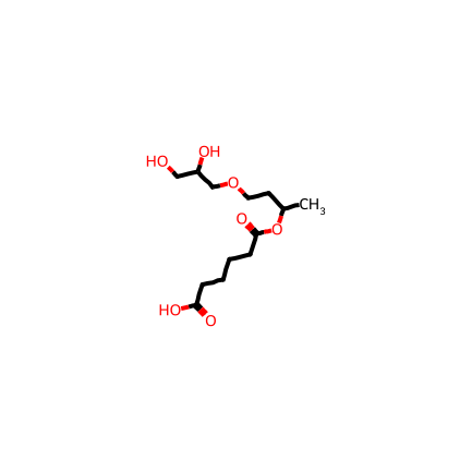 CC(CCOCC(O)CO)OC(=O)CCCCC(=O)O